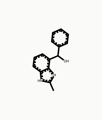 Cc1nc2c(C(O)c3ccccc3)cccc2[nH]1